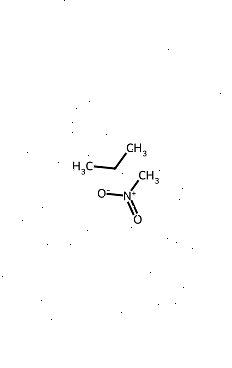 CCC.C[N+](=O)[O-]